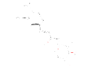 COc1ccc(/C=C/C(=O)CC2OC[C@@H](O)[C@H](O)[C@H]2O)cc1OC